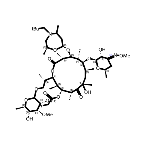 CO/N=C1\C[C@@H](C)O[C@@H](O[C@@H]2[C@@H](C)[C@H](O[C@H]3CC(C)N(CC(C)(C)C)C[C@H](C)O3)[C@@H](C)C(=O)O[C@H]([C@@H](C)COC3O[C@H](C)[C@@H](O)[C@@H](OC)[C@H]3OC)[C@H](C)[C@@H](OC(=O)CC(C)C)[C@@H](C)C(=O)[C@@](C)(O)C[C@@H]2C)[C@@H]1O